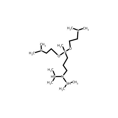 CN(C)CCO[Si](C)(CCCN([SiH](C)C)[SiH](C)C)OCCN(C)C